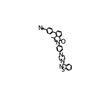 Cc1cn(-c2ccc(N3CCN(c4nsc5ccccc45)CC3)cc2)c(=O)c2cccc(-c3ccc(C#N)cc3)c12